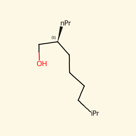 CCC[C@H](CO)CCCCC(C)C